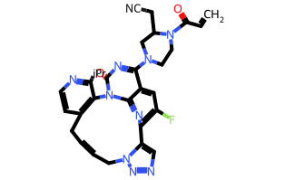 C=CC(=O)N1CCN(c2nc(=O)n3c4nc(c(F)cc24)-c2cnnn2C/C=C\Cc2ccnc(C(C)C)c2-3)CC1CC#N